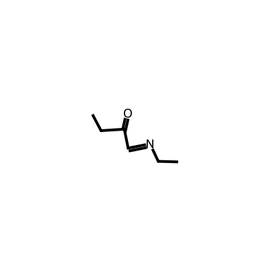 CCN=CC(=O)CC